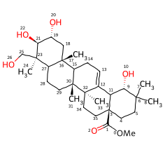 COC(=O)[C@]12CCC(C)(C)[C@@H](O)C1C1=CCC3[C@@]4(C)C[C@@H](O)[C@H](O)[C@](C)(CO)C4CC[C@@]3(C)[C@]1(C)CC2